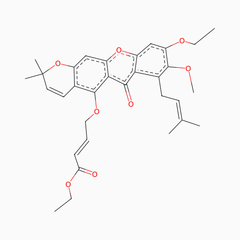 CCOC(=O)/C=C/COc1c2c(cc3oc4cc(OCC)c(OC)c(CC=C(C)C)c4c(=O)c13)OC(C)(C)C=C2